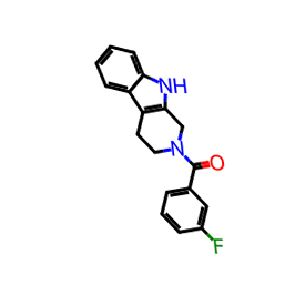 O=C(c1cccc(F)c1)N1CCc2c([nH]c3ccccc23)C1